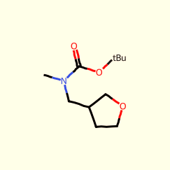 CN(CC1CCOC1)C(=O)OC(C)(C)C